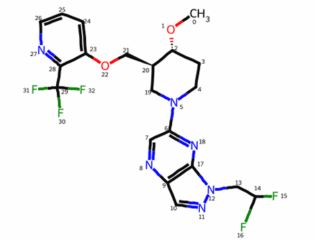 CO[C@@H]1CCN(c2cnc3cnn(CC(F)F)c3n2)C[C@H]1COc1cccnc1C(F)(F)F